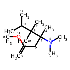 C=C(CC(C)(N(C)C)C(C)(C)C(C)C)OC